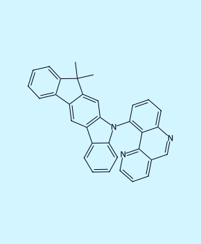 CC1(C)c2ccccc2-c2cc3c4ccccc4n(-c4cccc5ncc6cccnc6c45)c3cc21